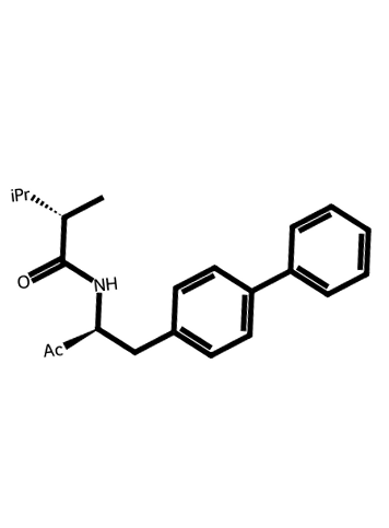 CC(=O)[C@H](Cc1ccc(-c2ccccc2)cc1)NC(=O)[C@@H](C)C(C)C